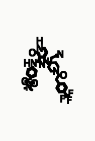 CN(C)S(=O)(=O)c1ccc(Nc2nn(C3(CC#N)CCN(C(=O)Cc4ccc(C(F)(F)F)cc4)CC3)c3cc[nH]c(=O)c23)cc1